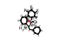 N[C@@](Cc1ccccc1)(NS(=O)(=O)c1c(F)c(F)c(F)c(F)c1F)c1ccccc1